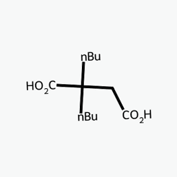 CCCCC(CCCC)(CC(=O)O)C(=O)O